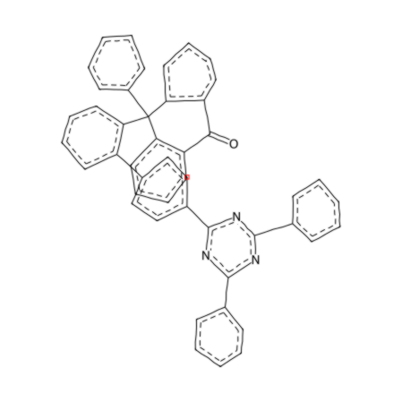 O=C1c2ccccc2C(c2ccccc2)(c2ccccc2-c2ccc(-c3nc(-c4ccccc4)nc(-c4ccccc4)n3)cc2)c2ccccc21